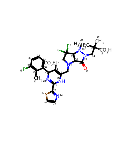 CCOC(=O)C1=C(CN2CC(F)(F)C3C2C(=O)N(CC(C)(C)C(=O)O)N3C)NC(c2nccs2)=NC1c1cccc(F)c1C